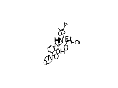 CC[C@@H](N/C(=C\Nc1cccc(C(=O)N2CCOCC2)c1O)C(=O)C=O)c1cc(C2CC2)c(C)o1